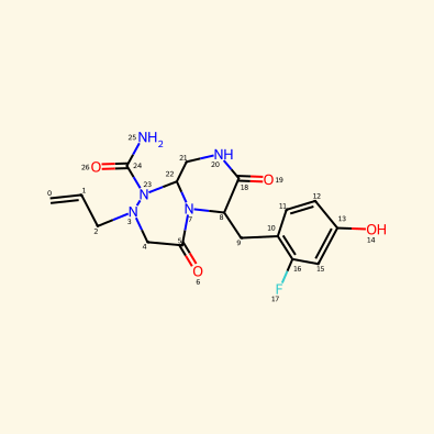 C=CCN1CC(=O)N2C(Cc3ccc(O)cc3F)C(=O)NCC2N1C(N)=O